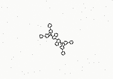 c1ccc(-c2ccc3c(c2)c2cc(-c4ccccc4)ccc2n3-c2ccc(-c3ccc(-n4c5ccc(-c6ccccc6)cc5c5cc(-c6ccccc6)ccc54)c4ccccc34)c3ccccc23)cc1